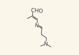 CC(C=O)=CN=CCCN(C)C